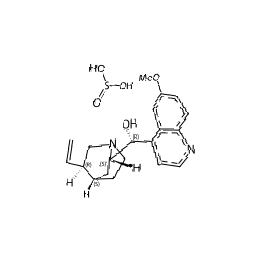 C=C[C@H]1CN2CC[C@H]1C[C@H]2[C@H](O)c1ccnc2ccc(OC)cc12.O=S(O)O